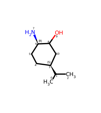 CC(C)[C@H]1CC[C@@H](N)C(O)C1